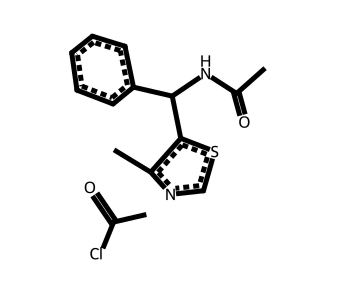 CC(=O)Cl.CC(=O)NC(c1ccccc1)c1scnc1C